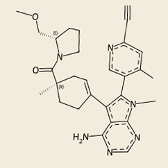 C#Cc1cc(C)c(-c2c(C3=CC[C@](C)(C(=O)N4CCC[C@H]4COC)CC3)c3c(N)ncnc3n2C)cn1